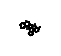 CN1CCC(c2nc3cnc4ccccc4c3[nH]2)(c2cccs2)C1=O